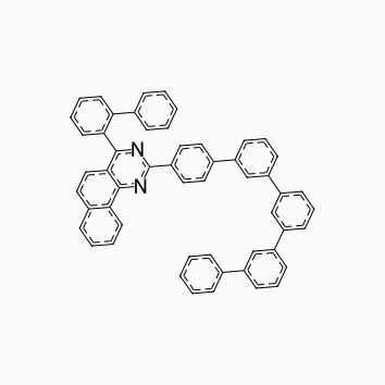 c1ccc(-c2cccc(-c3cccc(-c4cccc(-c5ccc(-c6nc(-c7ccccc7-c7ccccc7)c7ccc8ccccc8c7n6)cc5)c4)c3)c2)cc1